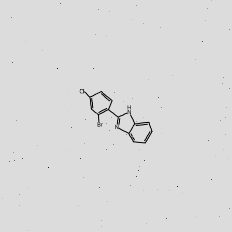 Clc1ccc(-c2nc3ccccc3[nH]2)c(Br)c1